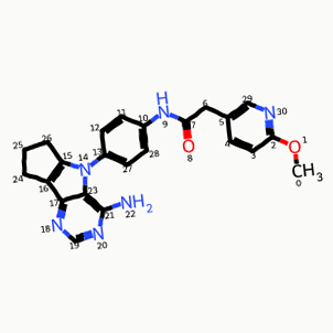 COc1ccc(CC(=O)Nc2ccc(-n3c4c(c5ncnc(N)c53)CCC4)cc2)cn1